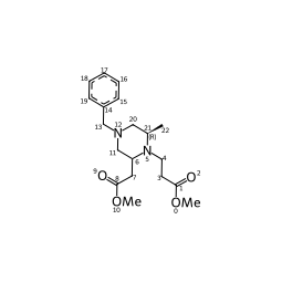 COC(=O)CCN1C(CC(=O)OC)CN(Cc2ccccc2)C[C@H]1C